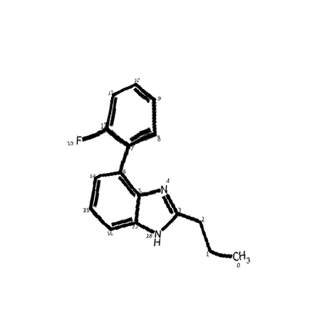 CCCc1nc2c(-c3ccccc3F)cccc2[nH]1